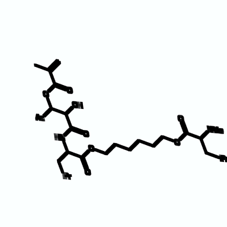 C=C(C)C(=O)OC(C(C)=O)C(O)C(=O)NC(CC(C)C)C(=O)OCCCCCCOC(=O)C(CC(C)C)NC